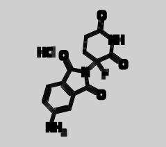 Cl.Nc1ccc2c(c1)C(=O)N(C1(F)CCC(=O)NC1=O)C2=O